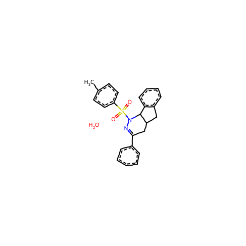 Cc1ccc(S(=O)(=O)N2N=C(c3ccccc3)CC3Cc4ccccc4C32)cc1.O